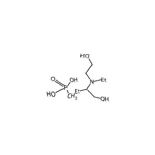 CCC(CO)N(CC)CCO.CP(=O)(O)O